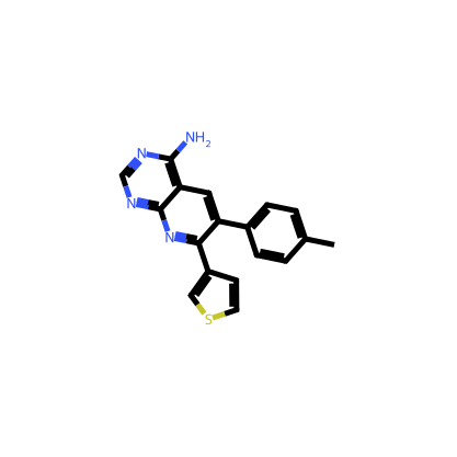 Cc1ccc(-c2cc3c(N)ncnc3nc2-c2ccsc2)cc1